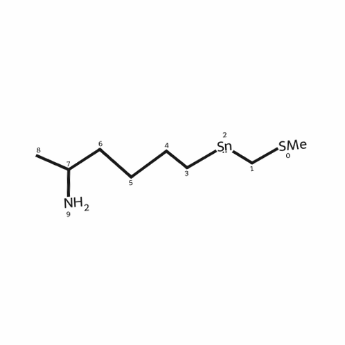 CS[CH2][Sn][CH2]CCCC(C)N